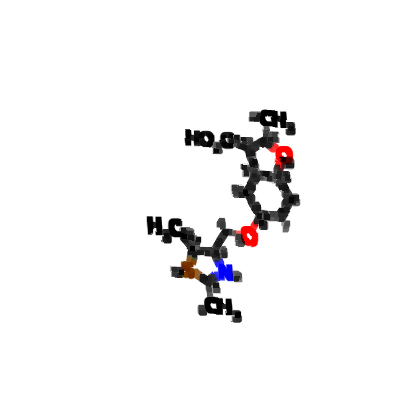 Cc1nc(COc2ccc3oc(C)c(C(=O)O)c3c2)c(C)s1